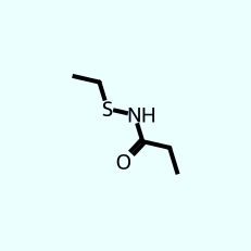 CCSNC(=O)CC